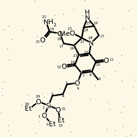 CCO[Si](CCCOC1=C(C)C(=O)C2=C(C1=O)C(COC(N)=O)C1(OC)C3NC3CN21)(OCC)OCC